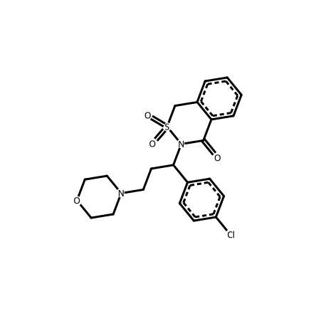 O=C1c2ccccc2CS(=O)(=O)N1C(CCN1CCOCC1)c1ccc(Cl)cc1